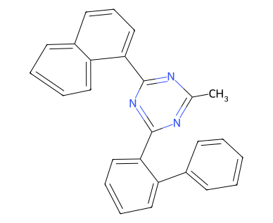 Cc1nc(-c2ccccc2-c2ccccc2)nc(-c2cccc3ccccc23)n1